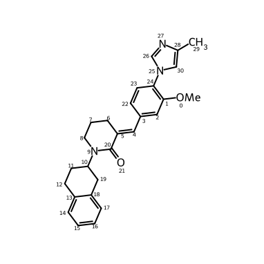 COc1cc(/C=C2\CCCN(C3CCc4ccccc4C3)C2=O)ccc1-n1cnc(C)c1